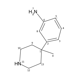 CC1(c2cc[c]c(N)c2)CCNCC1